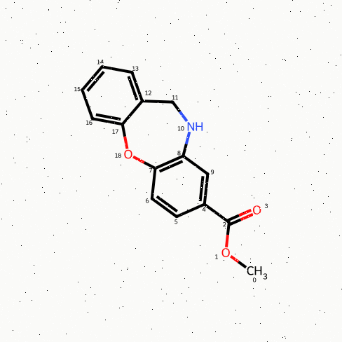 COC(=O)c1ccc2c(c1)NCc1ccccc1O2